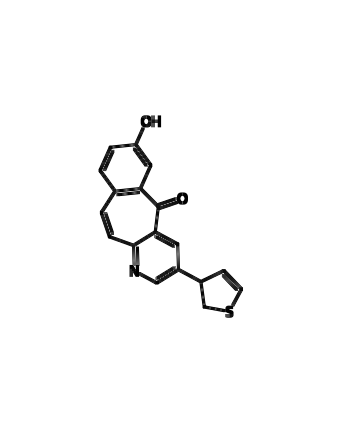 O=c1c2cc(O)ccc2ccc2ncc(C3C=CSC3)cc12